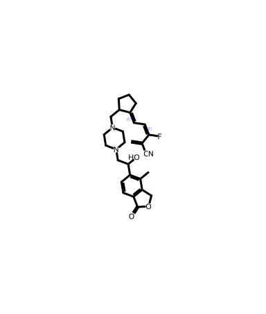 C=C(C#N)/C(F)=C\C=C1/CCCC1CN1CCN(CC(O)c2ccc3c(c2C)COC3=O)CC1